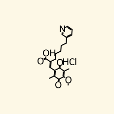 COC1=C(C)C(=O)C(C=C(CCCCCc2cccnc2)C(=O)O)=C(C)C1=O.Cl